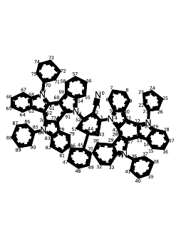 N#Cc1c(-n2c3ccccc3c3c4c(c5ccccc5n4-c4ccccc4)c4c(c5ccccc5n4-c4ccccc4)c32)cc(-c2ccccc2)cc1-n1c2ccccc2c2c3c(c4ccccc4n3-c3ccccc3)c3c(c4ccccc4n3-c3ccccc3)c21